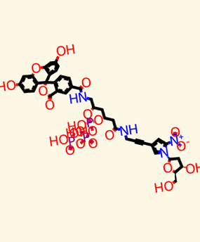 O=C(CCCC(CNC(=O)c1ccc2c(c1)C(=O)OC21c2ccc(O)cc2Oc2cc(O)ccc21)OP(=O)(O)OP(=O)(O)OP(=O)(O)O)NCC#Cc1cc([N+](=O)[O-])n([C@H]2C[C@H](O)[C@@H](CO)O2)c1